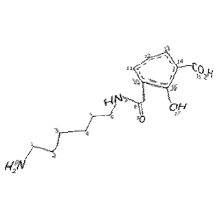 NCCCCCCNC(=O)c1cccc(C(=O)O)c1O